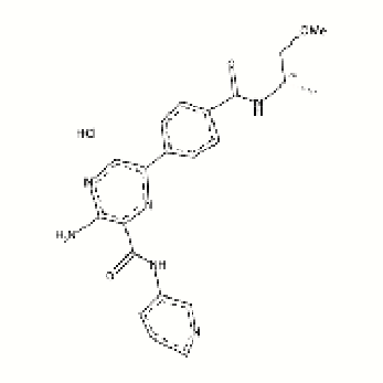 COC[C@H](C)NC(=O)c1ccc(-c2cnc(N)c(C(=O)Nc3cccnc3)n2)cc1.Cl